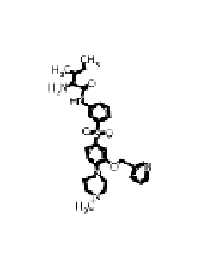 CCC(C)C(N)C(=O)Nc1cccc(S(=O)(=O)c2ccc(N3CCN(C)CC3)c(OCc3cccnc3)c2)c1